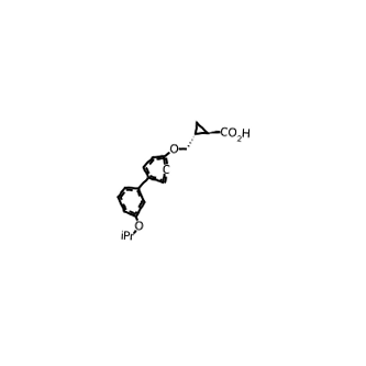 CC(C)Oc1cccc(-c2ccc(OC[C@@H]3C[C@H]3C(=O)O)cc2)c1